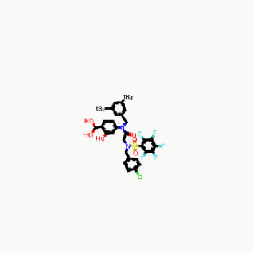 CC(C)(C)c1cc(CN(C(=O)CN(Cc2ccc(Cl)cc2)S(=O)(=O)c2c(F)c(F)c(F)c(F)c2F)c2ccc(C(O)O)c(O)c2)cc(C(C)(C)C)c1